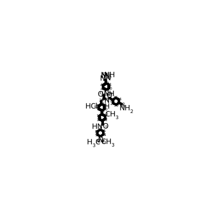 Cc1cc(C(=O)NC2CCC(N(C)C)CC2)ccc1-c1ccc(C[C@H](NC(=O)C2CCC(CN)CC2)C(=O)Nc2ccc(-c3nn[nH]n3)cc2)cc1.Cl